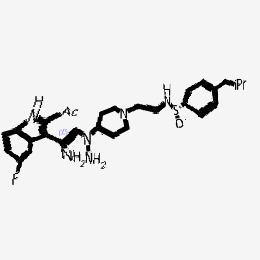 CC(=O)c1[nH]c2ccc(F)cc2c1/C(N)=C/N(N)C1CCN(CCN[S+]([O-])c2ccc(CC(C)C)cc2)CC1